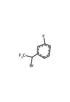 Fc1cccc(C(Br)C(F)(F)F)c1